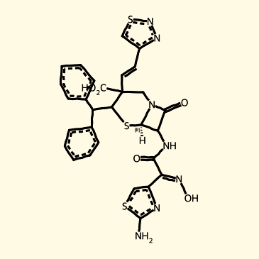 Nc1nc(C(=NO)C(=O)NC2C(=O)N3CC(C=Cc4csnn4)(C(=O)O)C(C(c4ccccc4)c4ccccc4)S[C@H]23)cs1